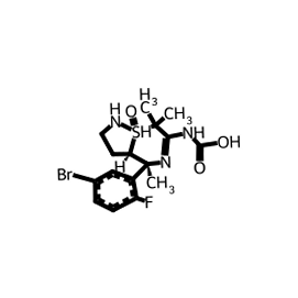 CC1(C)C(NC(=O)O)=N[C@](C)(c2cc(Br)ccc2F)[C@H]2CCN[SH]21=O